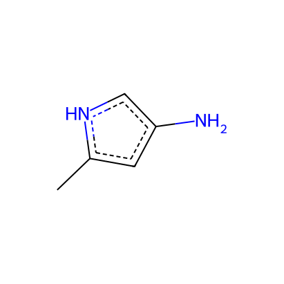 Cc1cc(N)c[nH]1